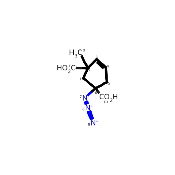 CC1(C(=O)O)C=CCC(N=[N+]=[N-])(C(=O)O)C1